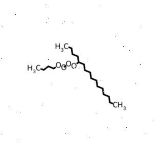 CCCCCCCCCCCC(CCCC)OOOOCCCC